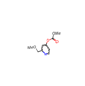 COCc1cc(OC(=O)OC)ccn1